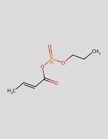 CC=CC(=O)O[PH](=O)OCCC